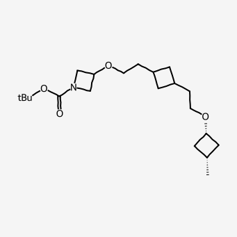 CC(C)(C)OC(=O)N1CC(OCCC2CC(CCO[C@H]3C[C@@H](C)C3)C2)C1